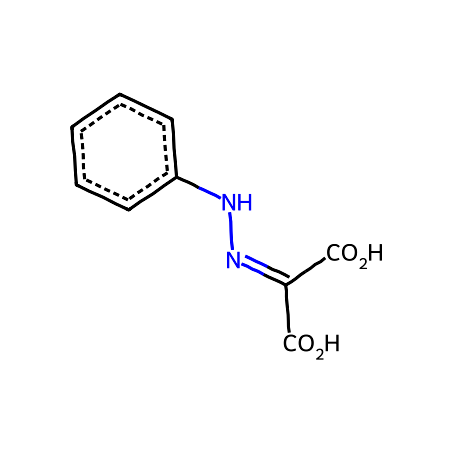 O=C(O)C(=NNc1ccccc1)C(=O)O